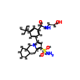 Cc1c(S(N)(=O)=O)cc(-c2cc(C(=O)NCCO)cc(C(C)(C)C)c2)n1CC1CCCCC1